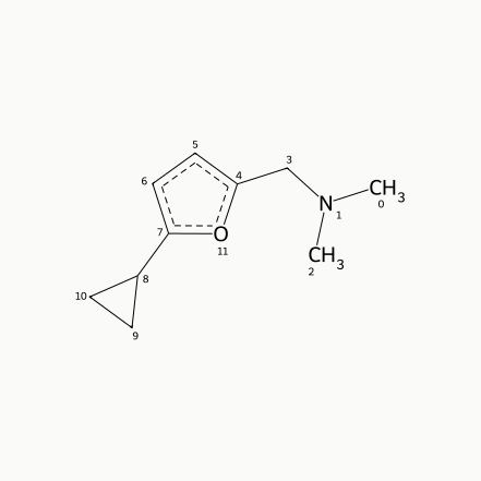 CN(C)Cc1ccc(C2CC2)o1